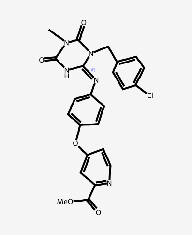 COC(=O)c1cc(Oc2ccc(/N=c3\[nH]c(=O)n(C)c(=O)n3Cc3ccc(Cl)cc3)cc2)ccn1